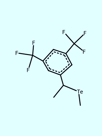 C[Te]C(C)c1cc(C(F)(F)F)cc(C(F)(F)F)c1